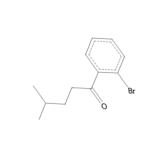 CC(C)CCC(=O)c1ccccc1Br